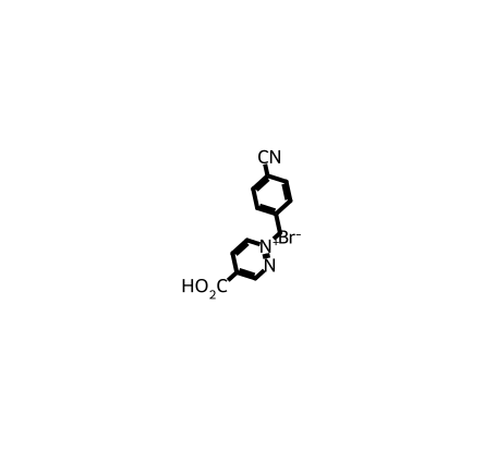 N#Cc1ccc(C[n+]2ccc(C(=O)O)cn2)cc1.[Br-]